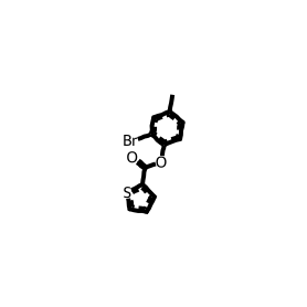 Cc1ccc(OC(=O)c2cccs2)c(Br)c1